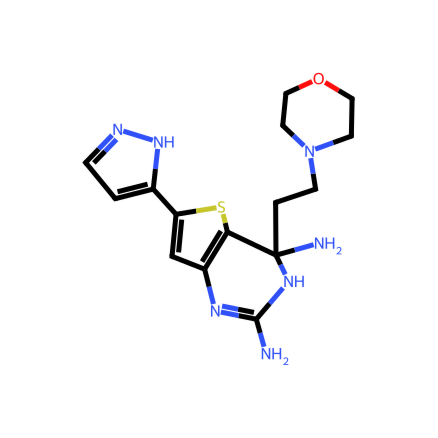 NC1=Nc2cc(-c3ccn[nH]3)sc2C(N)(CCN2CCOCC2)N1